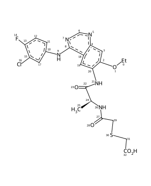 CCOc1cc2ncnc(Nc3ccc(F)c(Cl)c3)c2cc1NC(=O)[C@H](C)NC(=O)CSCC(=O)O